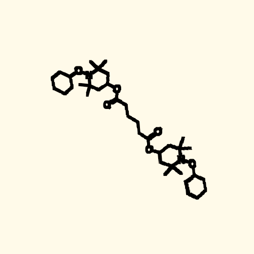 CC1(C)CC(OC(=O)CCCCC(=O)OC2CC(C)(C)N(OC3CCCCC3)C(C)(C)C2)CC(C)(C)N1OC1CCCCC1